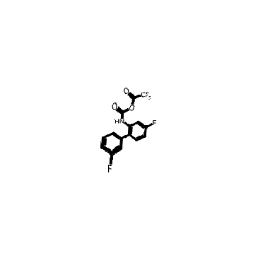 O=C(Nc1cc(F)ccc1-c1cccc(F)c1)OC(=O)C(F)(F)F